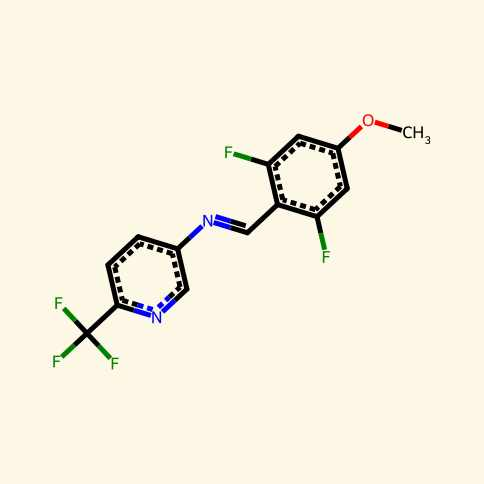 COc1cc(F)c(C=Nc2ccc(C(F)(F)F)nc2)c(F)c1